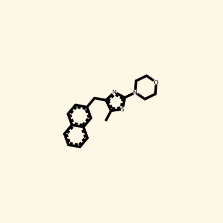 Cc1sc(N2CCOCC2)nc1Cc1ccc2ccccc2c1